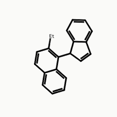 CCc1ccc2ccccc2c1C1C=Cc2ccccc21